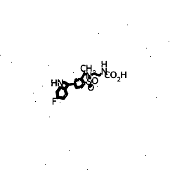 CC1c2cc(-c3c[nH]c4cc(F)ccc34)ccc2S(=O)(=O)N1CCNC(=O)O